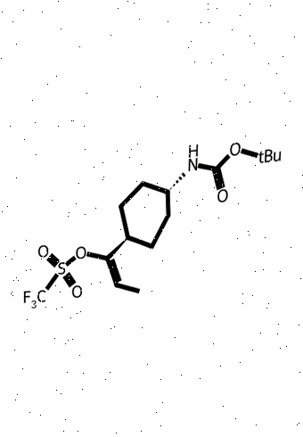 C/C=C(/OS(=O)(=O)C(F)(F)F)[C@H]1CC[C@H](NC(=O)OC(C)(C)C)CC1